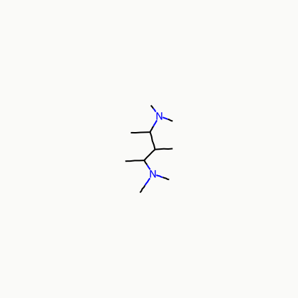 CC(C(C)N(C)C)C(C)N(C)C